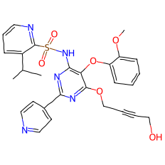 COc1ccccc1Oc1c(NS(=O)(=O)c2ncccc2C(C)C)nc(-c2ccncc2)nc1OCC#CCO